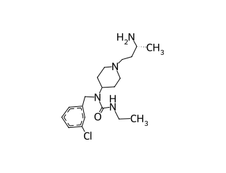 CCNC(=O)N(Cc1cccc(Cl)c1)C1CCN(CC[C@@H](C)N)CC1